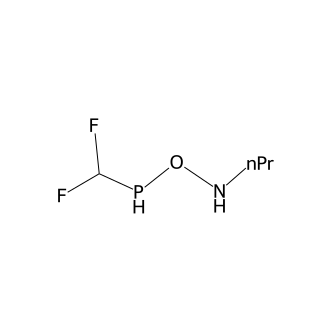 CCCNOPC(F)F